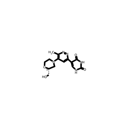 Cc1nnc(-c2c[nH]c(=O)[nH]c2=O)cc1N1CCO[C@@H](CO)C1